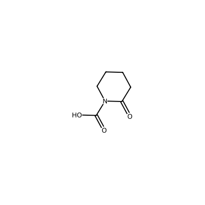 O=C(O)N1CCCCC1=O